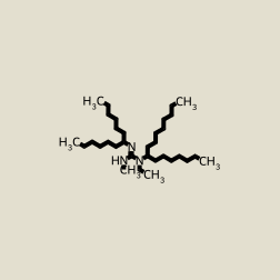 CCCCCCCCC(CCCCCCC)N(CC)/C(=N/C(CCCCCC)CCCCCC)NC